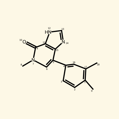 Cc1ccc(-c2cn(C)c(=O)c3[nH]cnc23)cc1C